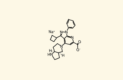 O=C([O-])c1cc(N2CC[C@@H]3NCC[C@@H]3C2)c2c(C3CCC3)nn(-c3ccccc3)c2n1.[Na+]